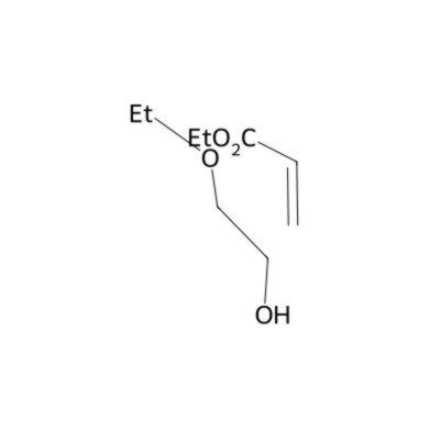 C=CC(=O)OCC.CCOCCO